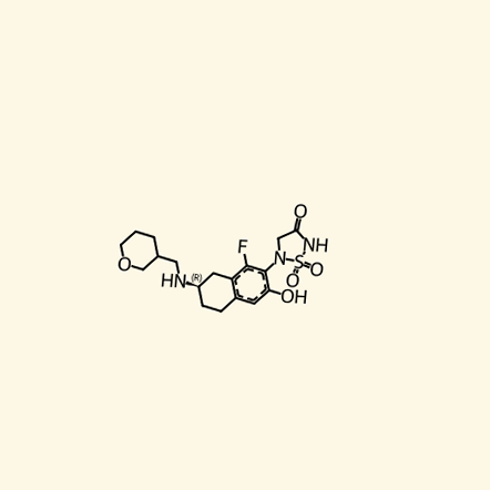 O=C1CN(c2c(O)cc3c(c2F)C[C@H](NCC2CCCOC2)CC3)S(=O)(=O)N1